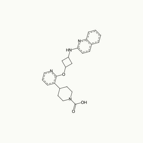 O=C(O)N1CCC(c2cccnc2OC2CC(Nc3ccc4ccccc4n3)C2)CC1